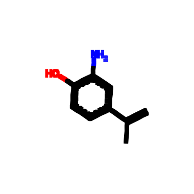 C=C(C)c1ccc(O)c(N)c1